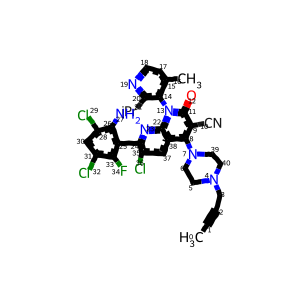 CC#CCN1CCN(c2c(C#N)c(=O)n(-c3c(C)ccnc3C(C)C)c3nc(-c4c(N)c(Cl)cc(Cl)c4F)c(Cl)cc23)CC1